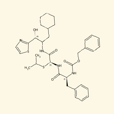 CC(C)S[C@H](NC(=O)[C@H](Cc1ccccc1)NC(=O)OCc1ccccc1)C(=O)NC(CC1CCCCC1)[C@@H](O)c1nccs1